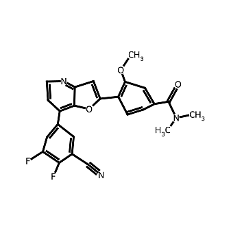 COc1cc(C(=O)N(C)C)ccc1-c1cc2nccc(-c3cc(F)c(F)c(C#N)c3)c2o1